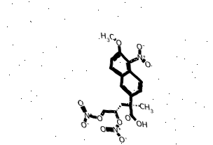 COc1ccc2cc([C@](C)(C[C@@H](CO[N+](=O)[O-])O[N+](=O)[O-])C(=O)O)ccc2c1[N+](=O)[O-]